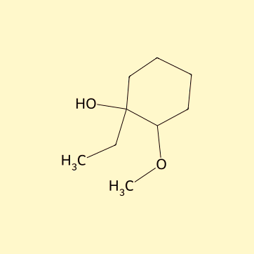 CCC1(O)CCCCC1OC